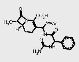 CC(=O)SC(NC(=O)C(NC(N)=O)c1ccccc1)C1=C(C(=O)O)N2C(=O)[C@H](C)[C@H]2SC1